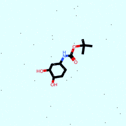 CC(C)(C)OC(=O)NC1CCC(O)C(O)C1